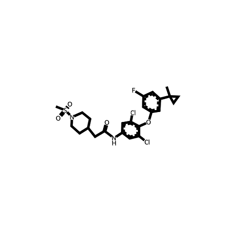 CC1(c2cc(F)cc(Oc3c(Cl)cc(NC(=O)CC4CCN(S(C)(=O)=O)CC4)cc3Cl)c2)CC1